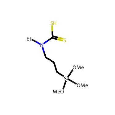 CCN(CCC[Si](OC)(OC)OC)C(=S)S